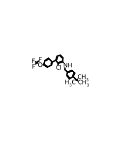 CC(C)(C)c1ccc(CNc2cccc(-c3ccc(OC(F)(F)F)cc3)c2Cl)cc1